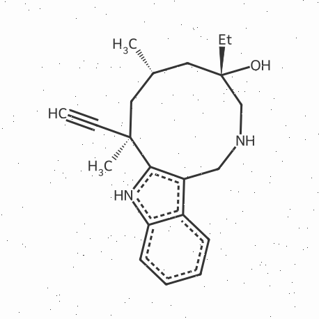 C#C[C@@]1(C)C[C@H](C)C[C@@](O)(CC)CNCc2c1[nH]c1ccccc21